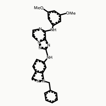 COc1cc(Nc2nccn3nc(Nc4ccc5cnn(Cc6ccccc6)c5c4)nc23)cc(OC)c1